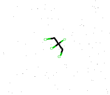 ClCC(Cl)(Cl)CCl